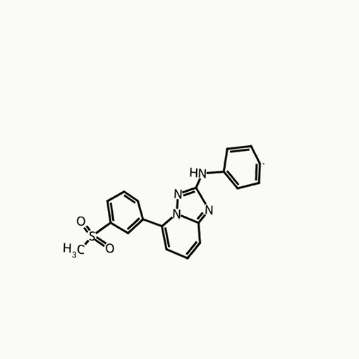 CS(=O)(=O)c1cccc(-c2cccc3nc(Nc4cc[c]cc4)nn23)c1